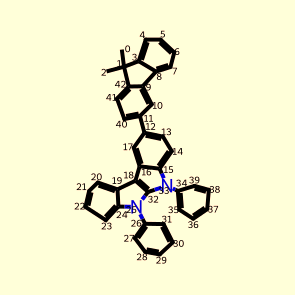 CC1(C)c2ccccc2-c2cc(-c3ccc4c(c3)c3c5ccccc5n(-c5ccccc5)c3n4-c3ccccc3)ccc21